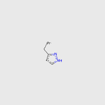 C[C](C)Cc1cc[nH]n1